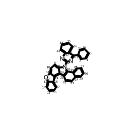 c1ccc(-c2nc(-n3c4ccc5oc6ccccc6c5c4c4ccc5ccccc5c43)nc3ccccc23)cc1